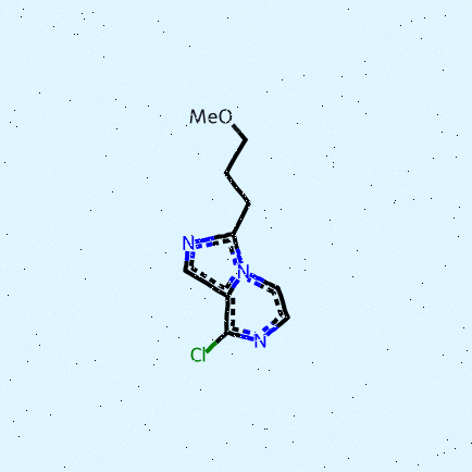 COCCCc1ncc2c(Cl)nccn12